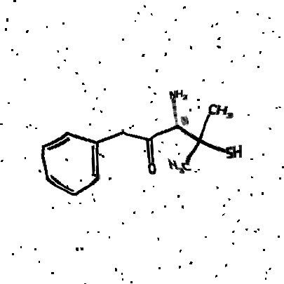 CC(C)(S)[C@@H](N)C(=O)[CH]c1ccccc1